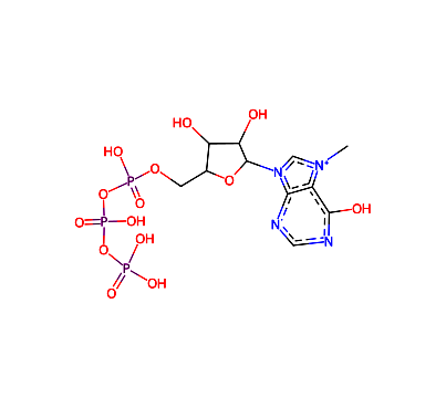 C[n+]1cn(C2OC(COP(=O)(O)OP(=O)(O)OP(=O)(O)O)C(O)C2O)c2ncnc(O)c21